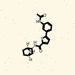 CC(=O)Nc1cccc(-c2ccc(C(=O)N[C@@H]3C[C@H]4CC[C@@H]3N4)s2)c1